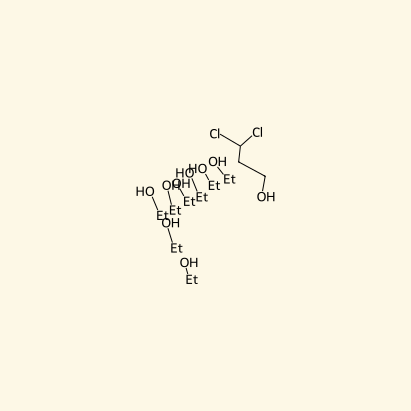 CCO.CCO.CCO.CCO.CCO.CCO.CCO.CCO.OCCC(Cl)Cl